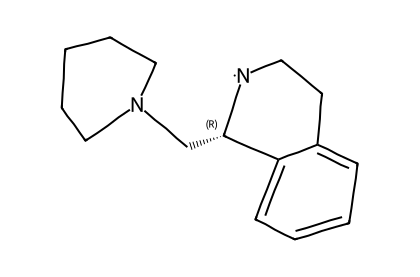 c1ccc2c(c1)CC[N][C@H]2CN1CCCCC1